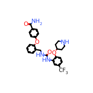 NC(=O)c1ccc(Oc2ccccc2CNC(=O)Nc2cc(C(F)(F)F)ccc2OC2CCNCC2)cc1